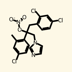 Cc1cc(Cl)ccc1C(Cc1ccc(Cl)cc1Cl)(Cn1ccnc1)O[N+](=O)[O-]